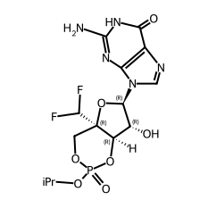 CC(C)OP1(=O)OC[C@@]2(C(F)F)O[C@@H](n3cnc4c(=O)[nH]c(N)nc43)[C@H](O)[C@H]2O1